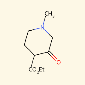 CCOC(=O)C1CCN(C)CC1=O